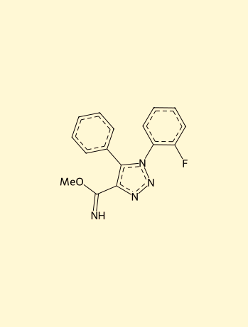 COC(=N)c1nnn(-c2ccccc2F)c1-c1ccccc1